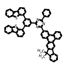 CC1(C)c2ccccc2-c2cc3c4ccccc4c4cc(-c5nc(-c6ccccc6)nc(-c6cc(-c7cccc8c7sc7ccccc78)cc(-c7cccc8c7sc7ccccc78)c6)n5)ccc4c3cc21